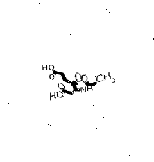 CCC(=O)N[C@@H](CC(=O)O)C(=O)CCC(=O)O